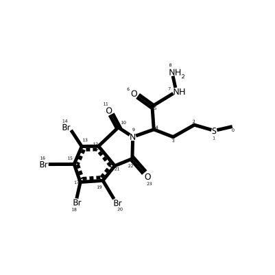 CSCCC(C(=O)NN)N1C(=O)c2c(Br)c(Br)c(Br)c(Br)c2C1=O